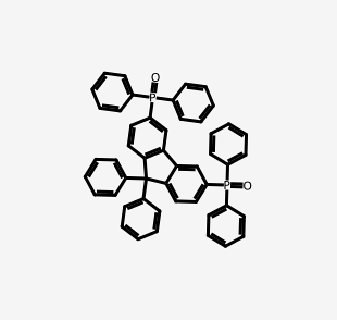 O=P(c1ccccc1)(c1ccccc1)c1ccc2c(c1)-c1cc(P(=O)(c3ccccc3)c3ccccc3)ccc1C2(c1ccccc1)c1ccccc1